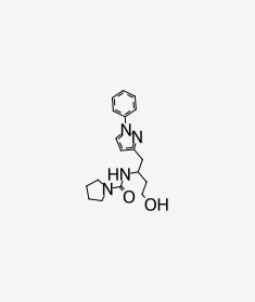 O=C(NC(CCO)Cc1ccn(-c2ccccc2)n1)N1CCCC1